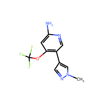 Cn1cc(-c2cnc(N)cc2OC(F)(F)F)cn1